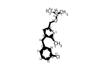 Cc1sc(CO[SiH](C)C)cc1Cc1cccc(Cl)c1